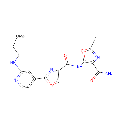 COCCNc1cc(-c2nc(C(=O)Nc3oc(C)nc3C(N)=O)co2)ccn1